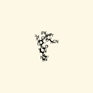 [2H]C[C@H]1O[C@@H](n2ccc(-n3cncn3)nc2=O)CC1OP(OCCC#N)N(C(C)C)C(C)C